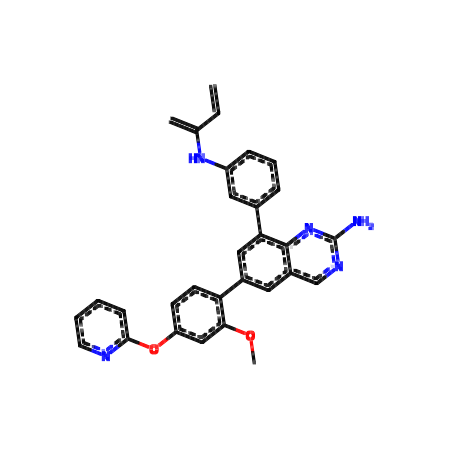 C=CC(=C)Nc1cccc(-c2cc(-c3ccc(Oc4ccccn4)cc3OC)cc3cnc(N)nc23)c1